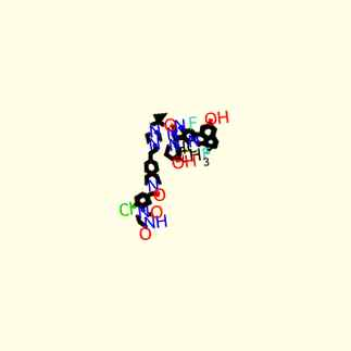 C#Cc1c(F)ccc2cc(O)cc(-c3ncc4c(N5CCC[C@@](C)(O)C5)nc(OCC5(CN6CCN(CCC7CCC8(CC7)CCN(C(=O)c7ccc(Cl)c(N9CCC(=O)NC9=O)c7)CC8)CC6)CC5)nc4c3F)c12